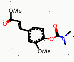 COC(=O)/C=C/c1ccc(OC(=O)N(C)C)c(OC)c1